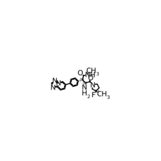 CNC(=O)[C@@H](c1ccc(-c2ccc3ncnn3c2)cc1)[C@H](N)C(=O)N1CC[C@](C)(F)C1